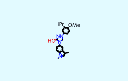 COc1ccc(N2CN(c3ccc4c(c3)c(C)cn4C)C(O)=N2)cc1C(C)C